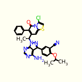 CC(C)Oc1ccc(-c2nn([C@@H](C)c3cc4scc(Cl)n4c(=O)c3-c3ccccc3)c3ncnc(N)c23)cc1C#N